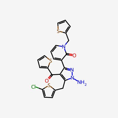 Nn1nc(-c2cccn(Cc3cccs3)c2=O)c(C(=O)c2cccs2)c1Cc1ccc(Cl)s1